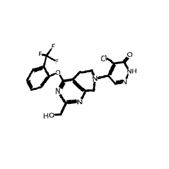 O=c1[nH]ncc(N2CCc3c(nc(CO)nc3Oc3ccccc3C(F)(F)F)C2)c1Cl